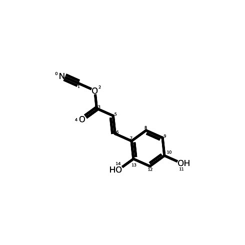 N#COC(=O)C=Cc1ccc(O)cc1O